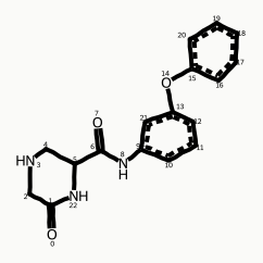 O=C1CNCC(C(=O)Nc2cccc(Oc3ccccc3)c2)N1